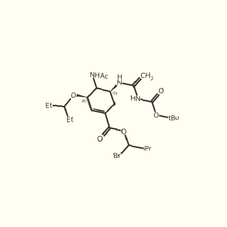 C=C(NC(=O)OC(C)(C)C)N[C@H]1CC(C(=O)OC(Br)C(C)C)=C[C@@H](OC(CC)CC)C1NC(C)=O